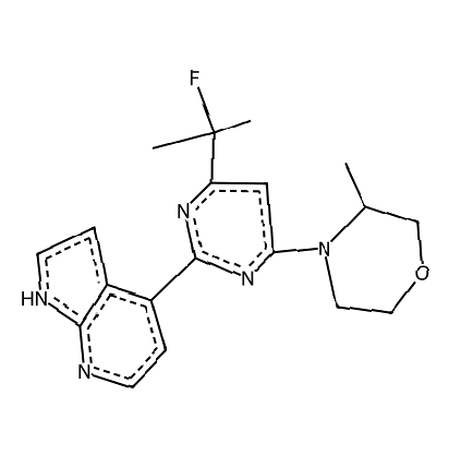 CC1COCCN1c1cc(C(C)(C)F)nc(-c2ccnc3[nH]ccc23)n1